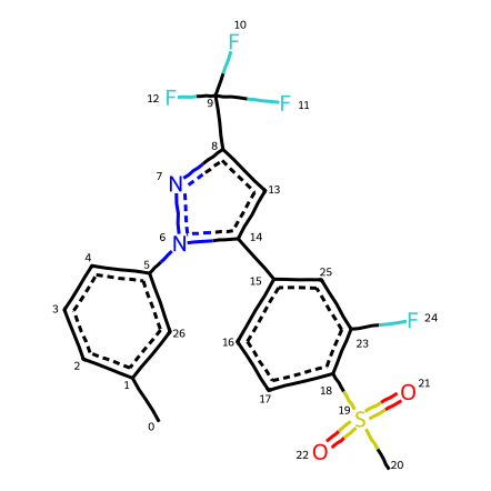 Cc1cccc(-n2nc(C(F)(F)F)cc2-c2ccc(S(C)(=O)=O)c(F)c2)c1